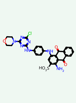 Nc1c(S(=O)(=O)O)cc(Nc2ccc(Nc3nc(Cl)nc(N4CCOCC4)n3)cc2)c2c1C(=O)c1ccccc1C2=O